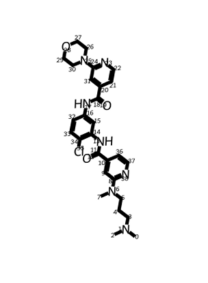 CN(C)CCCN(C)c1cc(C(=O)Nc2cc(NC(=O)c3ccnc(N4CCOCC4)c3)ccc2Cl)ccn1